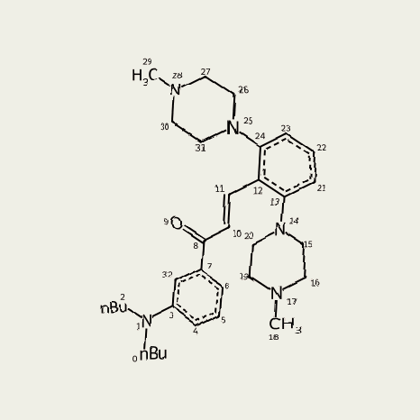 CCCCN(CCCC)c1cccc(C(=O)/C=C/c2c(N3CCN(C)CC3)cccc2N2CCN(C)CC2)c1